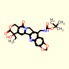 CCC1(O)C(=O)OCc2c1cc1n(c2=O)Cc2c-1nc1cc3c(cc1c2CNC(=O)OC(C)(C)C)OCO3